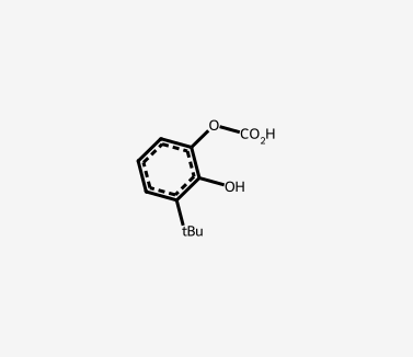 CC(C)(C)c1cccc(OC(=O)O)c1O